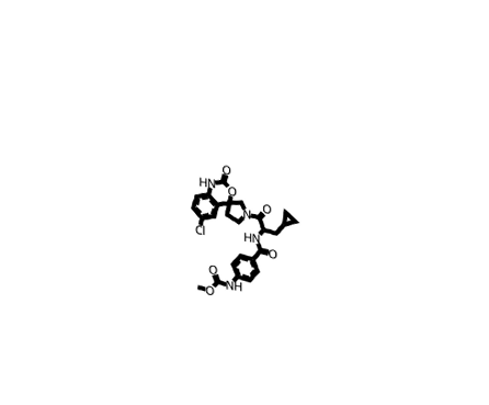 COC(=O)Nc1ccc(C(=O)NC(CC2CC2)C(=O)N2CCC3(C2)OC(=O)Nc2ccc(Cl)cc23)cc1